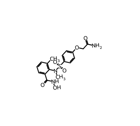 Cc1cccc(C(=O)NO)c1N(C)S(=O)(=O)c1ccc(OCC(N)=O)cc1